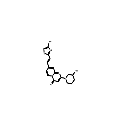 CC(C)c1csc(C=Cc2ccn3c(=O)cc(N4CCCC(O)C4)nc3c2)n1